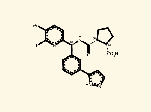 CC(C)c1ccc([C@@H](NC(=O)[C@@H]2CCC[C@@H]2C(=O)O)c2cccc(-c3ccn[nH]3)c2)nc1F